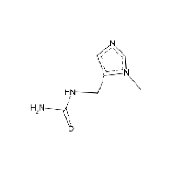 Cn1cncc1CNC(N)=O